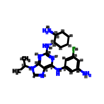 CC(C)n1cnc2c(Nc3cc(N)cc(F)c3)nc(N[C@H]3CCCC[C@@H]3N)nc21